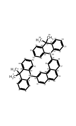 CC1(C)c2ccccc2N(c2ccc3ccc4ccc(N5c6ccccc6C(C)(C)c6ccccc65)cc4c3c2)c2ccccc21